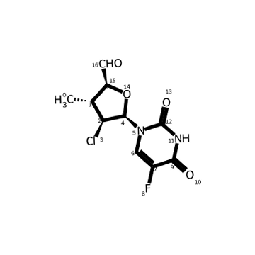 C[C@H]1[C@H](Cl)[C@H](n2cc(F)c(=O)[nH]c2=O)O[C@@H]1C=O